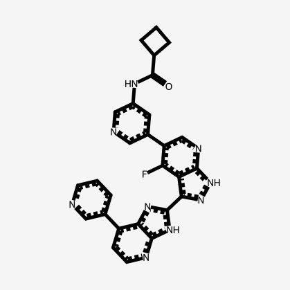 O=C(Nc1cncc(-c2cnc3[nH]nc(-c4nc5c(-c6cccnc6)ccnc5[nH]4)c3c2F)c1)C1CCC1